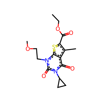 CCOC(=O)c1sc2c(c1C)c(=O)n(C1CC1)c(=O)n2CCOC